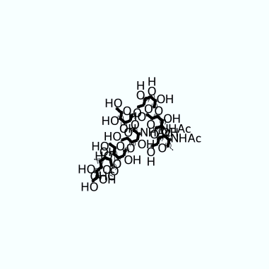 CC(=O)NC1C(O)[C@H](O[C@@H]2OC(CO)[C@H](O)[C@H](O[C@]3(OC=O)CC(O)[C@@H](C)C([C@H](O)[C@H](O)CO)O3)C2O)C(CO)O[C@H]1OC1[C@@H](OCC2O[C@@H](O[C@@H]3C(CO)O[C@@H](O[C@@H]4C(CO)O[C@@H](C)C(NC(C)=O)[C@H]4O)C(NC(C)=O)[C@H]3O)C(O)[C@@H](O)[C@@H]2O)OC(CO)[C@@H](O)[C@@H]1O